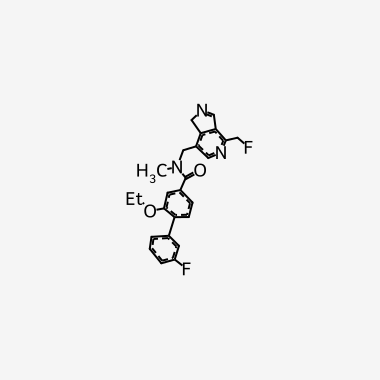 CCOc1cc(C(=O)N(C)Cc2cnc(CF)c3c2CN=C3)ccc1-c1cccc(F)c1